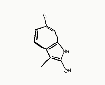 Cc1c(O)[nH]c2cc(Cl)ccc12